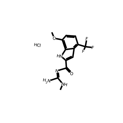 CNC(N)=NC(=O)c1cc2c(C(F)(F)F)ccc(OC)c2[nH]1.Cl